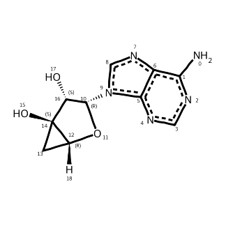 Nc1ncnc2c1ncn2[C@@H]1O[C@@H]2C[C@]2(O)[C@@H]1O